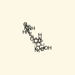 O=C(O)CC(c1ccncc1)c1c[nH]c2cc(OCCCNC3=NC(=O)CN3)ccc12